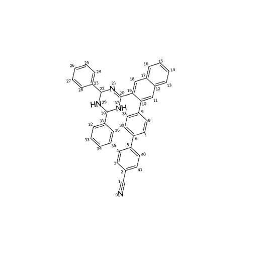 N#Cc1ccc(-c2ccc(-c3cc4ccccc4cc3C3=NC(c4ccccc4)NC(c4ccccc4)N3)cc2)cc1